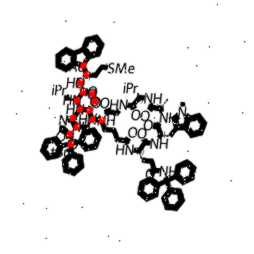 CSCC[C@H](NC(=O)[C@H](CC(C)C)NC(=O)[C@H](Cc1cncn1C(c1ccccc1)(c1ccccc1)c1ccccc1)NC(=O)CNC(=O)[C@@H](NC(=O)[C@H](C)NC(=O)[C@H](Cc1cn(C)c2ccccc12)NC(=O)[C@H](CCC(=O)NC(c1ccccc1)(c1ccccc1)c1ccccc1)NC(=O)CCCCNC(=O)C(CNC(=O)OC(C)(C)C)NC(=O)OCC1c2ccccc2-c2ccccc21)C(C)C)C(C)=O